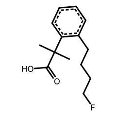 CC(C)(C(=O)O)c1ccccc1CCCCF